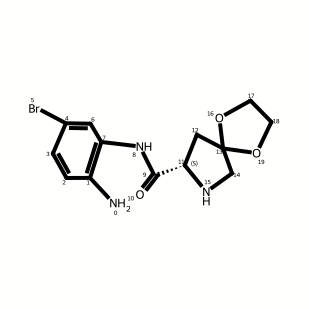 Nc1ccc(Br)cc1NC(=O)[C@@H]1CC2(CN1)OCCO2